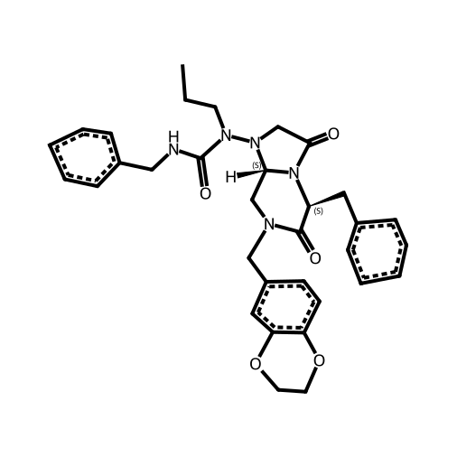 CCCN(C(=O)NCc1ccccc1)N1CC(=O)N2[C@@H](Cc3ccccc3)C(=O)N(Cc3ccc4c(c3)OCCO4)C[C@@H]21